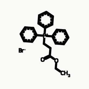 CCOC(=O)CC[P+](c1ccccc1)(c1ccccc1)c1ccccc1.[Br-]